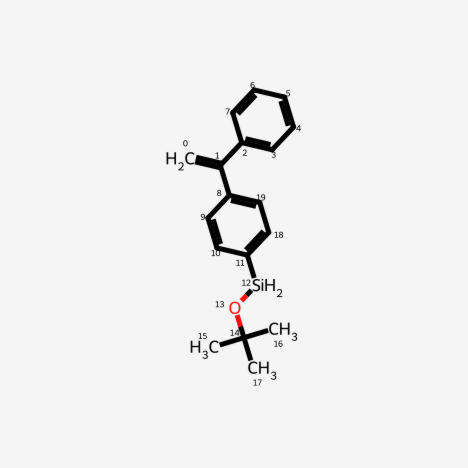 C=C(c1ccccc1)c1ccc([SiH2]OC(C)(C)C)cc1